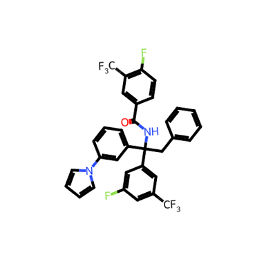 O=C(NC(Cc1ccccc1)(c1cccc(-n2cccc2)c1)c1cc(F)cc(C(F)(F)F)c1)c1ccc(F)c(C(F)(F)F)c1